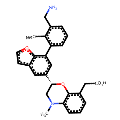 COc1c(CN)cccc1-c1cc([C@H]2CN(C)c3cccc(CC(=O)O)c3O2)cc2ccoc12